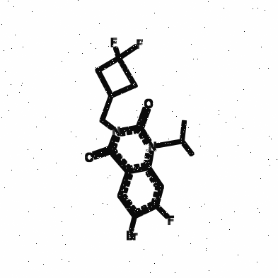 CC(C)n1c(=O)n(CC2CC(F)(F)C2)c(=O)c2cc(Br)c(F)cc21